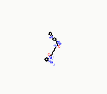 Nc1ccccc1NC(=O)CCCCCNC(=O)c1cc(-c2ccc(NCc3ccccc3)cc2)n[nH]1